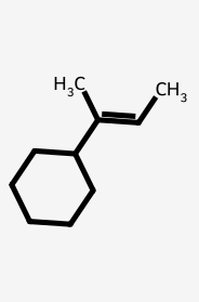 C/C=C(\C)C1CCCCC1